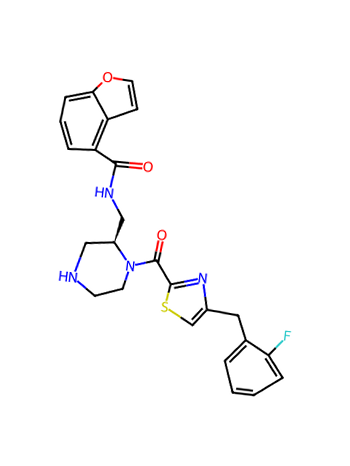 O=C(NC[C@@H]1CNCCN1C(=O)c1nc(Cc2ccccc2F)cs1)c1cccc2occc12